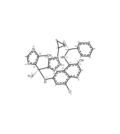 B[C@@](Nc1cc(Cl)c2ncc(C#N)c(N[C@H](CC)c3ccccc3)c2c1)(c1cn(C2CC2)nn1)c1scnc1C